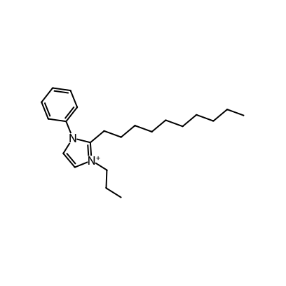 CCCCCCCCCCc1n(-c2ccccc2)cc[n+]1CCC